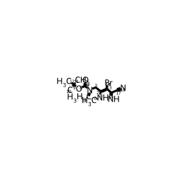 CN/C(CN(C)C(=O)OC(C)(C)C)=C(/Br)C(=N)C#N